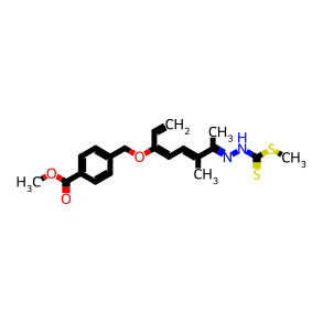 C=C\C(=C/C=C(C)/C(C)=N/NC(=S)SC)OCc1ccc(C(=O)OC)cc1